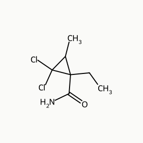 CCC1(C(N)=O)C(C)C1(Cl)Cl